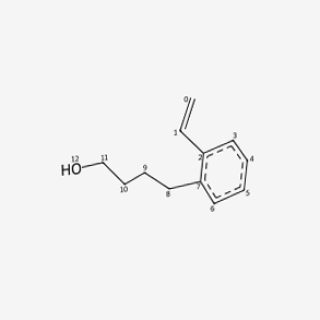 C=Cc1ccccc1CCCCO